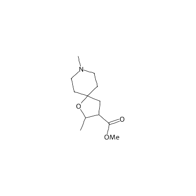 COC(=O)C1CC2(CCN(C)CC2)OC1C